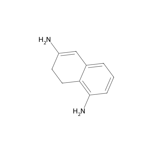 NC1=Cc2cccc(N)c2CC1